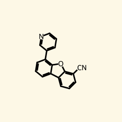 N#Cc1cccc2c1oc1c(-c3cccnc3)cccc12